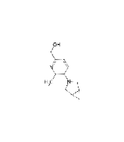 Cc1nc(CO)ccc1N1CC2CC2C1